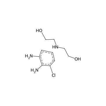 Nc1cccc(Cl)c1N.OCCNCCO